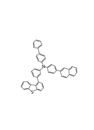 c1ccc(-c2ccc(N(c3ccc(-c4ccc5ccccc5c4)cc3)c3cccc(-c4cccc5sc6ccccc6c45)c3)cc2)cc1